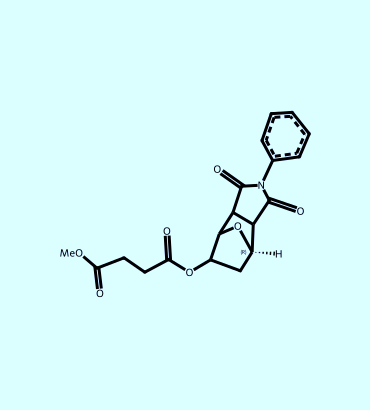 COC(=O)CCC(=O)OC1C[C@H]2OC1C1C(=O)N(c3ccccc3)C(=O)C12